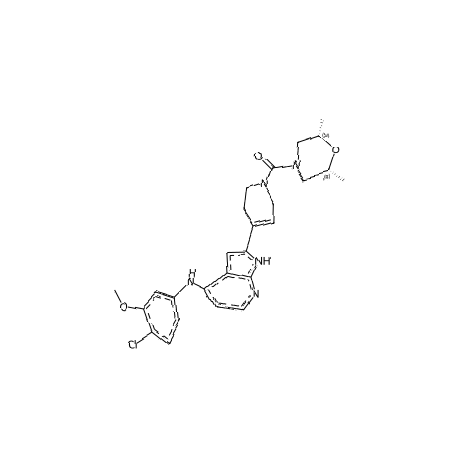 COc1cc(Nc2ccnc3[nH]c(C4=CCN(C(=O)N5C[C@@H](C)O[C@@H](C)C5)CC4)cc23)ccc1Cl